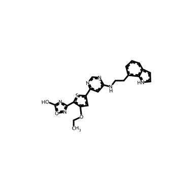 CCOc1cc(-c2cc(NCCc3cccc4cc[nH]c34)ncn2)sc1-c1noc(O)n1